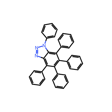 c1ccc(-c2c(-c3ccccc3)c(-c3ccccc3)c3c(nnn3-c3ccccc3)c2-c2ccccc2)cc1